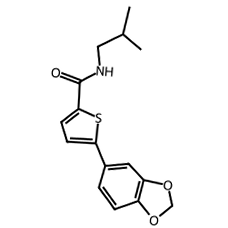 CC(C)CNC(=O)c1ccc(-c2ccc3c(c2)OCO3)s1